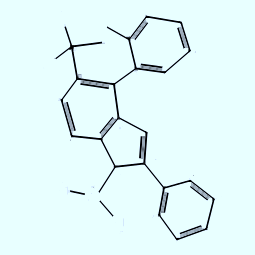 Cc1ccccc1-c1c(C(C)(C)C)ccc2c1C=C(c1ccccc1)[CH]2[Zr]([Cl])[Cl]